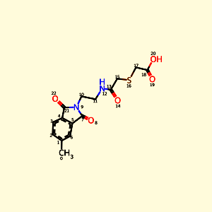 Cc1ccc2c(c1)C(=O)N(CCNC(=O)CSCC(=O)O)C2=O